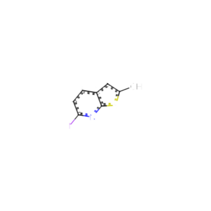 Cc1cc2ccc(I)nc2s1